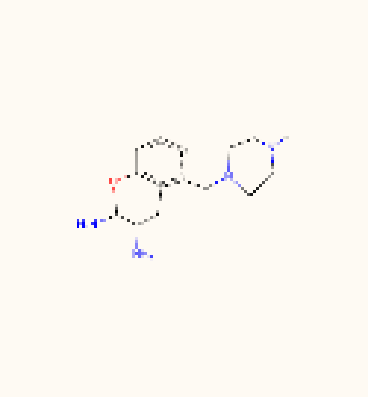 CN1CCN(Cc2cccc3c2C[C@H](N)C(N)O3)CC1